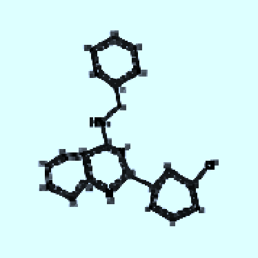 Clc1cccc(-c2nc(NCc3ccccc3)c3ccccc3n2)c1